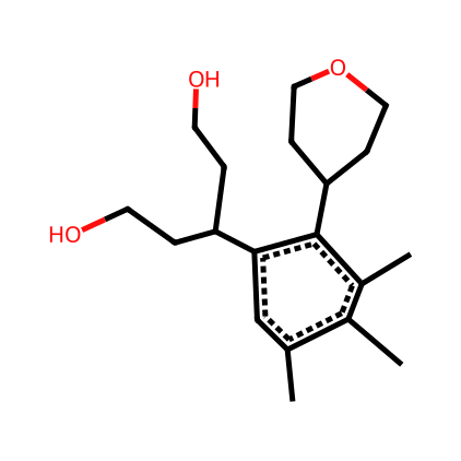 Cc1cc(C(CCO)CCO)c(C2CCOCC2)c(C)c1C